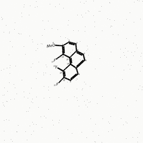 COc1ccc2ccc3ccc(F)c(F)c3c2c1F